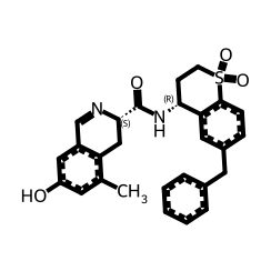 Cc1cc(O)cc2c1C[C@@H](C(=O)N[C@@H]1CCS(=O)(=O)c3ccc(Cc4ccccc4)cc31)N=C2